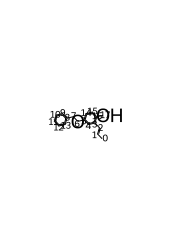 CC=Cc1cc(OCc2ccccc2)ccc1O